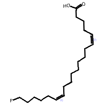 O=C(O)CCC/C=C\CCCCCCC/C=C\CCCCCF